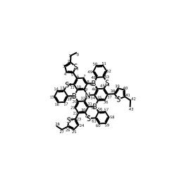 CCc1ccc(-c2cc3c4c5c2Sc2ccccc2B5c2cc(-c5ccc(CC)s5)c5c6c2N4c2c(cc(-c4ccc(CC)s4)c4c2B3c2ccccc2S4)B6c2ccccc2S5)s1